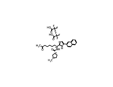 CC(=O)CCCCC[C@H](NC(=O)[C@@H]1CCN(C)C1)c1ncc(-c2ccc3ccccc3c2)[nH]1.O=C(O)C(F)(F)F.O=C(O)C(F)(F)F